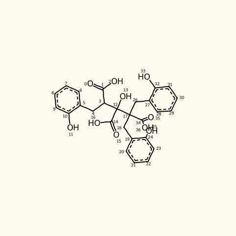 O=C(O)C(Cc1ccccc1O)C(O)(C(=O)O)C(Cc1ccccc1O)(Cc1ccccc1O)C(=O)O